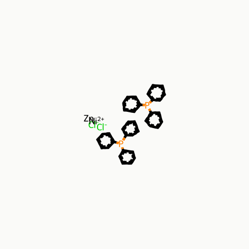 [Cl-].[Cl-].[Ni+2].[Zn].c1ccc(P(c2ccccc2)c2ccccc2)cc1.c1ccc(P(c2ccccc2)c2ccccc2)cc1